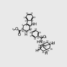 COC(=O)[C@H]1Cc2c([nH]c3ccccc23)[C@H](c2ccc(C(=O)N[C@]34C[C@H]5C[C@H](C[C@H](C5)C3)C4)cc2)N1